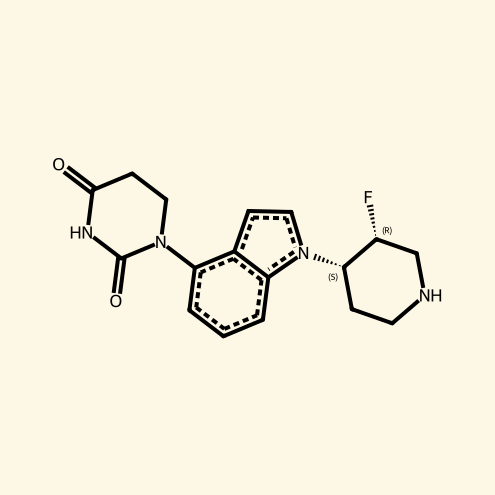 O=C1CCN(c2cccc3c2ccn3[C@H]2CCNC[C@H]2F)C(=O)N1